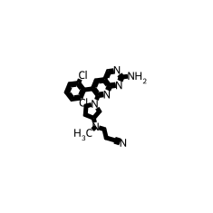 CN(CCC#N)C1CCN(c2nc3nc(N)ncc3cc2-c2c(Cl)cccc2Cl)C1